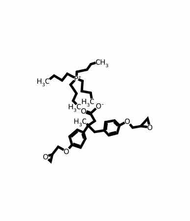 CC(CC(=O)[O-])(Cc1ccc(OCC2CO2)cc1)c1ccc(OCC2CO2)cc1.CCCC[P+](CCCC)(CCCC)CCCC